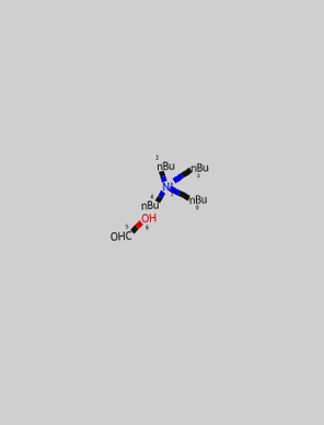 CCCC[N+](CCCC)(CCCC)CCCC.O=CO